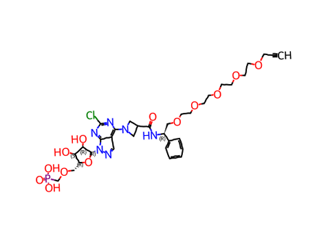 C#CCOCCOCCOCCOCCOC[C@H](NC(=O)C1CN(c2nc(Cl)nc3c2cnn3[C@@H]2O[C@H](COCP(=O)(O)O)[C@@H](O)[C@H]2O)C1)c1ccccc1